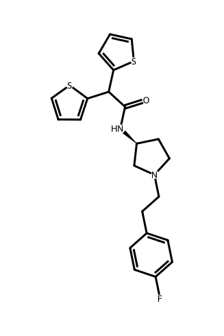 O=C(N[C@H]1CCN(CCc2ccc(F)cc2)C1)C(c1cccs1)c1cccs1